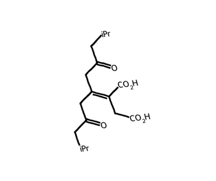 CC(C)CC(=O)CC(CC(=O)CC(C)C)=C(CC(=O)O)C(=O)O